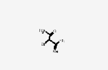 [CH2]CCC(=N)C(CC)C(N)=O